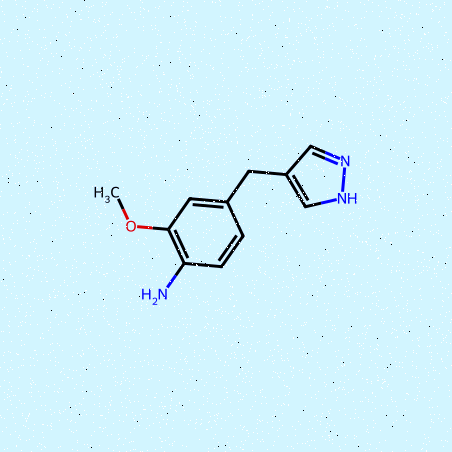 COc1cc(Cc2cn[nH]c2)ccc1N